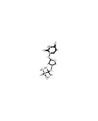 CC(C)C(O[C@@H]1COC(On2ccc(=O)[nH]c2=O)C1)(C(C)C)P(=O)(O)O